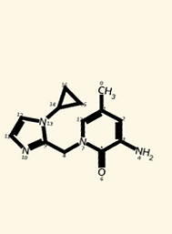 Cc1cc(N)c(=O)n(Cc2nccn2C2CC2)c1